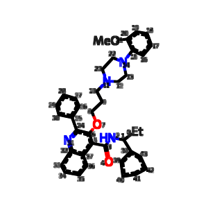 CCC(NC(=O)c1c(OCCCN2CCN(c3ccccc3OC)CC2)c(-c2ccccc2)nc2ccccc12)c1ccccc1